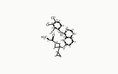 C=CC(=O)N1CC(Oc2ccc3ncnc(Nc4ccc(Cl)c(Cl)c4F)c3n2)(C2CC2)C1